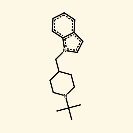 CC(C)(C)N1CCC(Cn2ccc3ccccc32)CC1